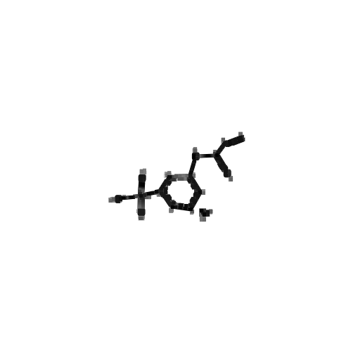 C=CC(=O)Oc1cccc(S(=O)(=O)[O-])c1.[Na+]